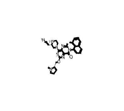 Cc1cccc2cccc(-n3c(C)nc4c(N5CCN[C@@H](CC#N)C5)nc(OC[C@@H]5CCCN5C)nc4c3=O)c12